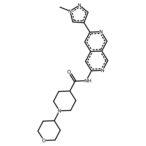 Cn1cc(-c2cc3cc(NC(=O)C4CCN(C5CCOCC5)CC4)ncc3cn2)cn1